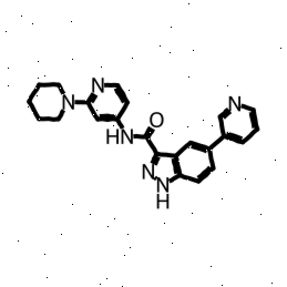 O=C(Nc1ccnc(N2CCCCC2)c1)c1n[nH]c2ccc(-c3cccnc3)cc12